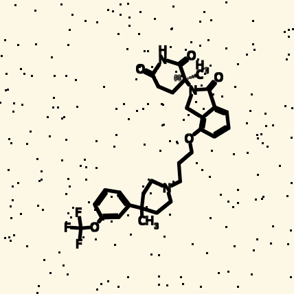 CC1(c2cccc(OC(F)(F)F)c2)CCN(CCCOc2cccc3c2CN([C@@]2(C)CCC(=O)NC2=O)C3=O)CC1